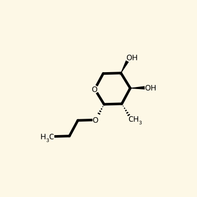 CCCO[C@@H]1OC[C@@H](O)[C@@H](O)[C@@H]1C